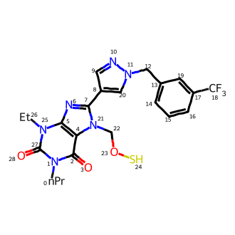 CCCn1c(=O)c2c(nc(-c3cnn(Cc4cccc(C(F)(F)F)c4)c3)n2COS)n(CC)c1=O